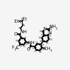 CCN(CC)CCNC(=O)c1cc(NC(=O)c2ccc(C)c(-c3ccc4nc(N)ncc4c3)c2)cc(C(F)(F)F)c1